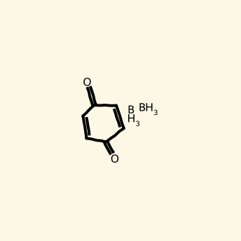 B.B.O=C1C=CC(=O)C=C1